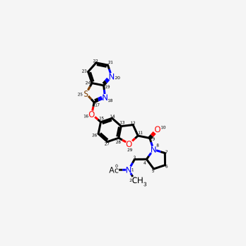 CC(=O)N(C)CC1CCCN1C(=O)C1Cc2cc(Oc3nc4ncccc4s3)ccc2O1